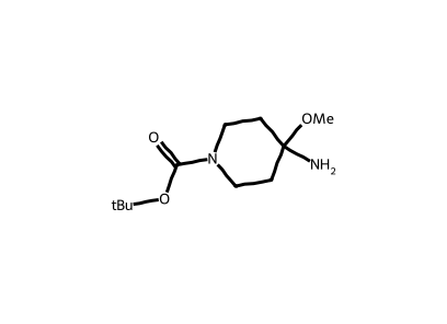 COC1(N)CCN(C(=O)OC(C)(C)C)CC1